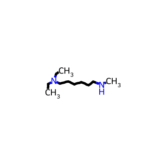 CCN(CC)CCCCCCNC